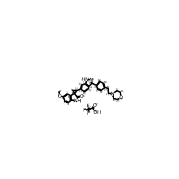 COc1ccc2c(c1)C1(CC1c1ccc3c(-c4ccc(CCN5CCOCC5)cc4)n[nH]c3c1)C(=O)N2.O=C(O)C(F)(F)F